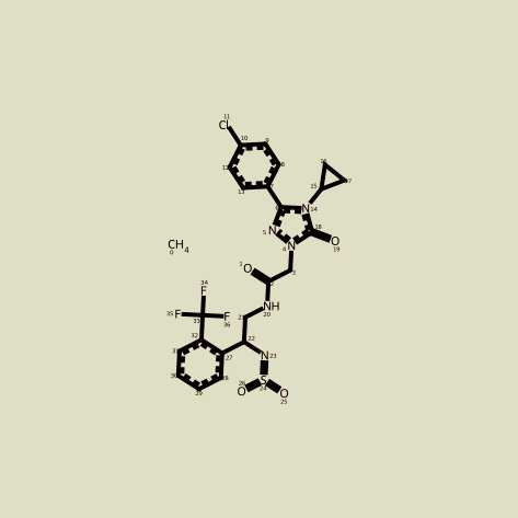 C.O=C(Cn1nc(-c2ccc(Cl)cc2)n(C2CC2)c1=O)NCC(N=S(=O)=O)c1ccccc1C(F)(F)F